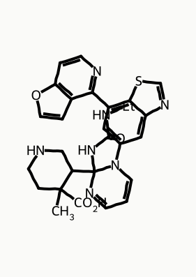 CCNC(=O)NC1(C2CNCCC2(C)C(=O)O)N=CC=CN1c1cc(-c2nccc3occc23)c2scnc2c1